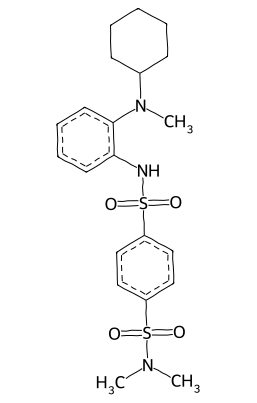 CN(c1ccccc1NS(=O)(=O)c1ccc(S(=O)(=O)N(C)C)cc1)C1CCCCC1